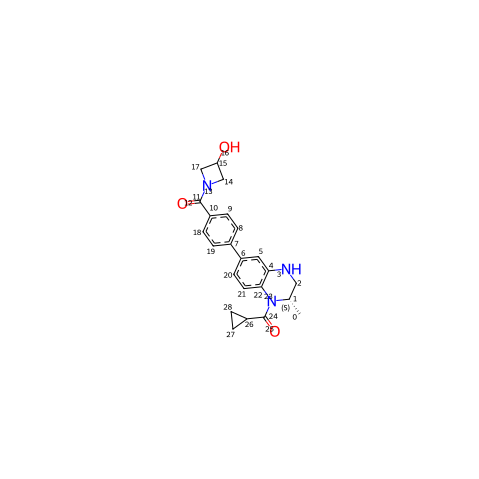 C[C@H]1CNc2cc(-c3ccc(C(=O)N4CC(O)C4)cc3)ccc2N1C(=O)C1CC1